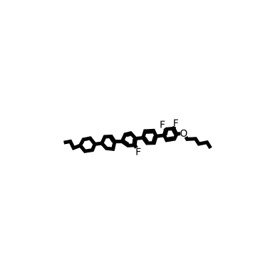 CCCCCOc1ccc(-c2ccc(-c3ccc(C4=CCC(C5CCC(CCC)CC5)CC4)cc3F)cc2)c(F)c1F